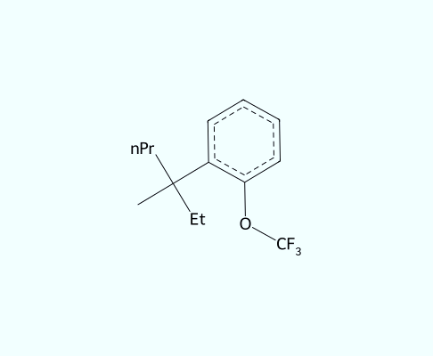 CCCC(C)(CC)c1ccccc1OC(F)(F)F